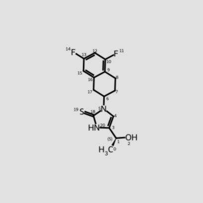 C[C@H](O)c1cn(C2CCc3c(F)cc(F)cc3C2)c(=S)[nH]1